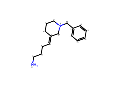 NCCCC=C1CCCN(Cc2ccccc2)C1